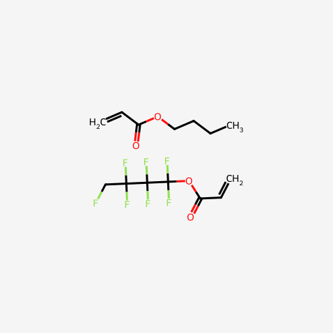 C=CC(=O)OC(F)(F)C(F)(F)C(F)(F)CF.C=CC(=O)OCCCC